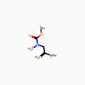 C=C(CN(C)C(=O)OC(C)(C)C)NC